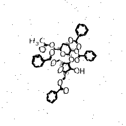 CC(=O)OC[C@H]1C[C@H](OC(=O)c2ccccc2)[C@@H](OC(=O)c2ccccc2)[C@H](OC2=C(O)[C@@H](COC(=O)c3ccccc3)O[C@@H]2COC(=O)c2ccccc2)O1